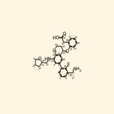 C[C@@H](N)c1cccc(-c2cc(NC[C@H]3CCCO3)c3c(c2)C(Oc2ccccc2CC(=O)O)CCO3)c1F